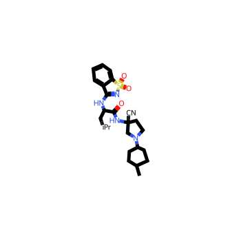 CC(C)CC(NC1=NS(=O)(=O)c2ccccc21)C(=O)NC1(C#N)CCN(C2CCC(C)CC2)C1